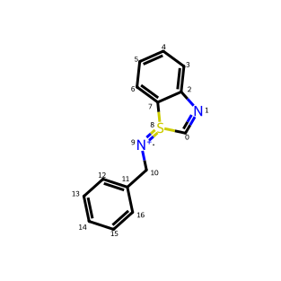 C1=Nc2ccccc2S1=[N+]Cc1ccccc1